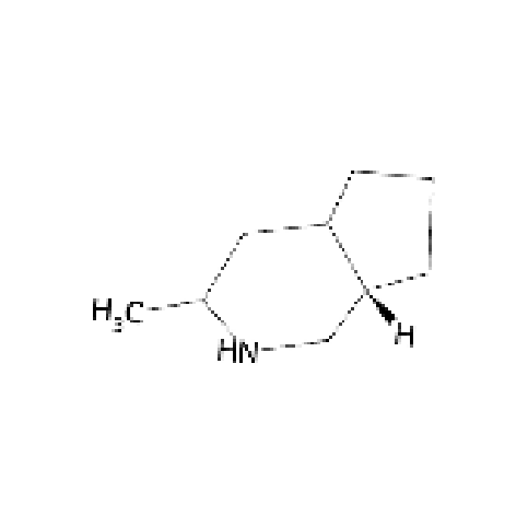 CC1CC2CCC[C@@H]2CN1